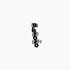 O=C(Nc1ccc(OC(=O)N2CCN(Cc3cnccn3)CC2)cc1)c1ccccc1